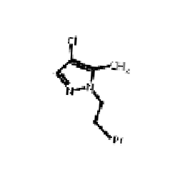 Cc1c(Cl)[c]nn1CCC(C)C